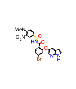 CNc1ccc([S+]([O-])NC(=O)c2ccc(Br)cc2Oc2cnc3[nH]ccc3c2)cc1[N+](=O)[O-]